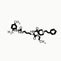 CCCN1C(=O)[C@H](CCCCNC(=O)Nc2cc(C)ccc2C)NC(=O)C12CCN(CCc1ccccc1)CC2